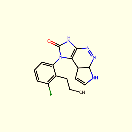 N#CCCc1c(F)cccc1-n1c2c([nH]c1=O)N=NC1NC=CC21